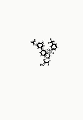 C[C@H](C[C@H]1CN(S(=O)(=O)c2cccc(C(F)(F)F)c2)c2cc(-c3cc(F)cc(OC(F)F)c3)ccc2O1)C(=O)O